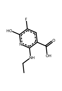 CCNc1nc(O)c(F)cc1C(=O)O